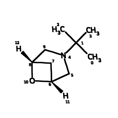 CC(C)(C)N1C[C@H]2C[C@@H](C1)O2